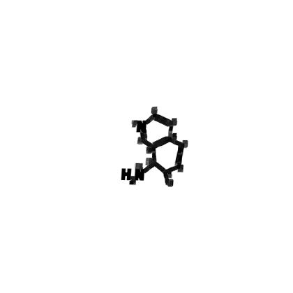 CC1C=Cc2ccncc2C1N